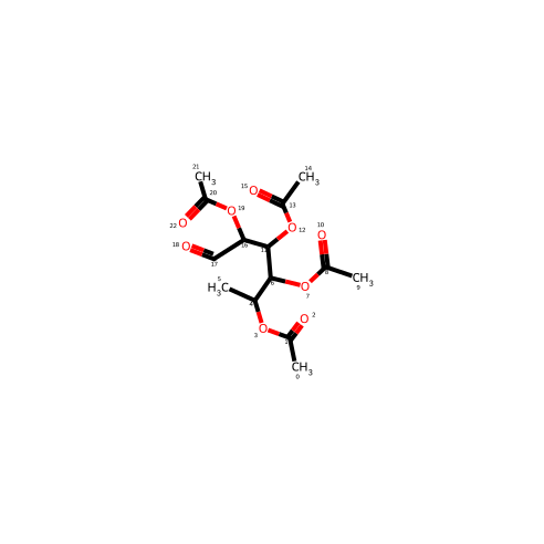 CC(=O)OC(C)C(OC(C)=O)C(OC(C)=O)C(C=O)OC(C)=O